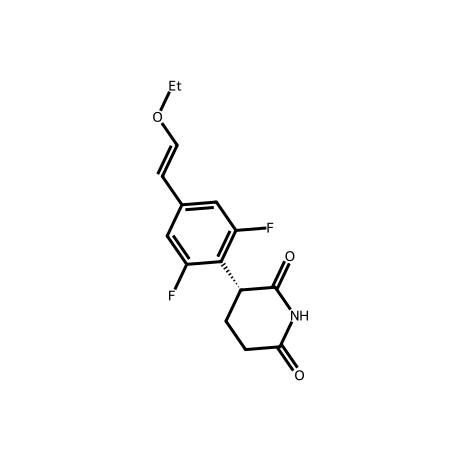 CCOC=Cc1cc(F)c([C@H]2CCC(=O)NC2=O)c(F)c1